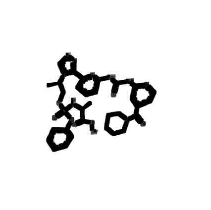 CC(C)OC(=O)[C@H](C)NP(=O)(OC[C@@H](C)n1cnnc1-c1cccc(NC(=O)Nc2cc(C(=O)N3CCCCC3)ccn2)n1)Oc1ccccc1